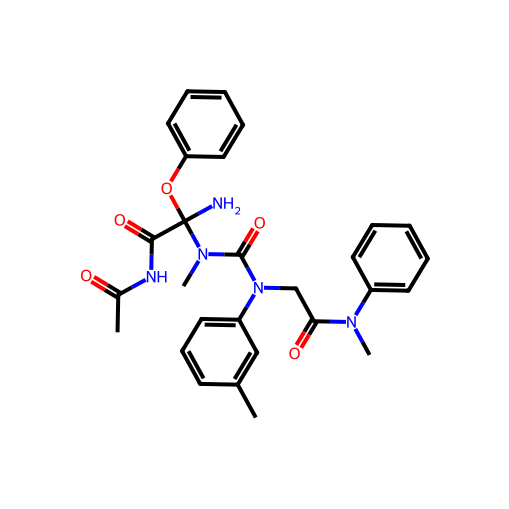 CC(=O)NC(=O)C(N)(Oc1ccccc1)N(C)C(=O)N(CC(=O)N(C)c1ccccc1)c1cccc(C)c1